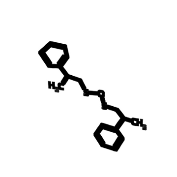 CC(CSOSCC(C)c1ccccc1)c1ccccc1